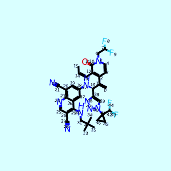 C=C(c1ccn(CC(F)F)c(=O)c1/C=C\C)[C@H](Nc1cc(C#N)c2ncc(C#N)c(NCC(C)(C)C)c2c1)c1cn(C2(C(F)F)CC2)nn1